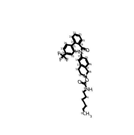 CCCCCCNC(=O)ON1CCc2cc(NC(=O)c3ccccc3-c3ccc(C(F)(F)F)cc3)ccc2C1